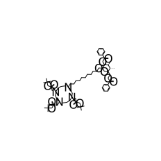 C[C@@H]1C(COC(=O)c2ccccc2)O[C@@H](OCCCCCCCCCCN2CCCN(CC(=O)OC(C)(C)C)CCN(CC(=O)OC(C)(C)C)CCCN(CC(=O)OC(C)(C)C)CC2)C(OC(=O)c2ccccc2)[C@H]1C